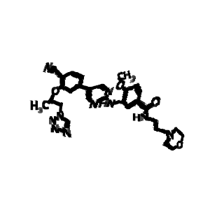 COc1ccc(C(=O)NCCN2CCOCC2)cc1Nc1ncc(-c2ccc(C#N)c(OC(C)Cn3cnnn3)c2)cn1